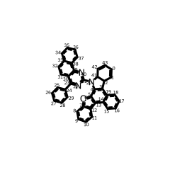 C1=CC2c3c(c4oc5ccccc5c4c4ccccc34)N(c3nc(-c4ccccc4)c4ccc5ccccc5c4n3)C2C=C1